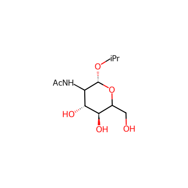 CC(=O)NC1[C@H](OC(C)C)OC(CO)[C@@H](O)[C@@H]1O